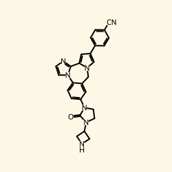 N#Cc1ccc(-c2cc3n(c2)Cc2cc(N4CCN(C5CNC5)C4=O)ccc2-n2ccnc2-3)cc1